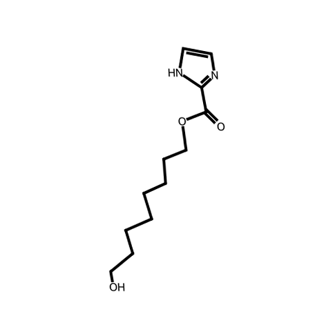 O=C(OCCCCCCCCO)c1ncc[nH]1